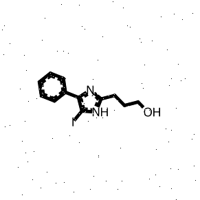 OCCCc1nc(-c2ccccc2)c(I)[nH]1